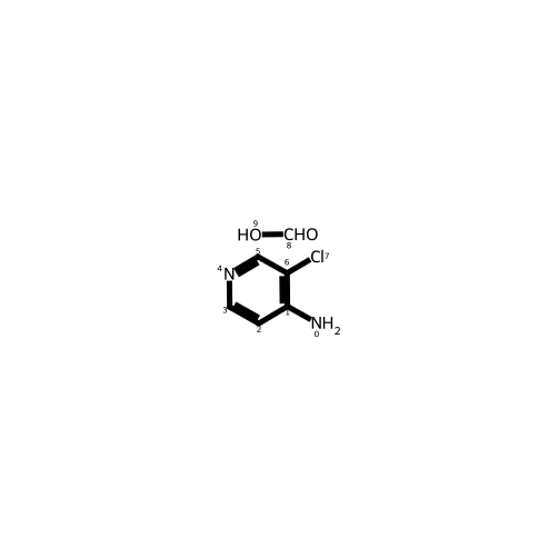 Nc1ccncc1Cl.O=CO